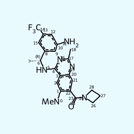 CNc1cc2c(N[C@H](C)c3cc(N)cc(C(F)(F)F)c3)nc(C)nc2cc1C(=O)N1CCC1